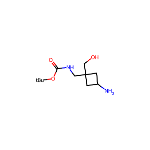 CC(C)(C)OC(=O)NCC1(CO)CC(N)C1